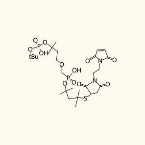 CC(C)(C)OP(=O)(O)OC(C)(C)CCOCP(=O)(O)OC(C)(C)CC(C)(C)SC1CC(=O)N(CCN2C(=O)C=CC2=O)C1=O